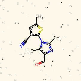 Cc1cc(C#N)c(-n2c(C)nc(C=O)c2C)s1